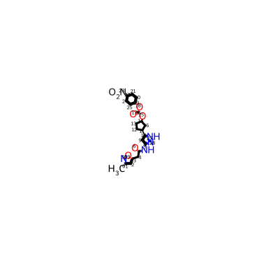 Cc1cc(CC(=O)Nc2cc([C@H]3CC[C@@H](OC(=O)Oc4ccc([N+](=O)[O-])cc4)C3)[nH]n2)on1